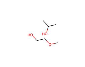 CC(C)O.COCCO